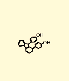 OC1=CCC(=C2CC=CC3=C2C(c2ccc(O)cc2)c2ccccc23)C=C1